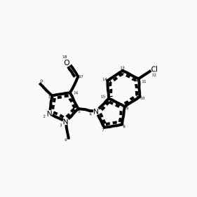 Cc1nn(C)c(-n2ccc3cc(Cl)ccc32)c1C=O